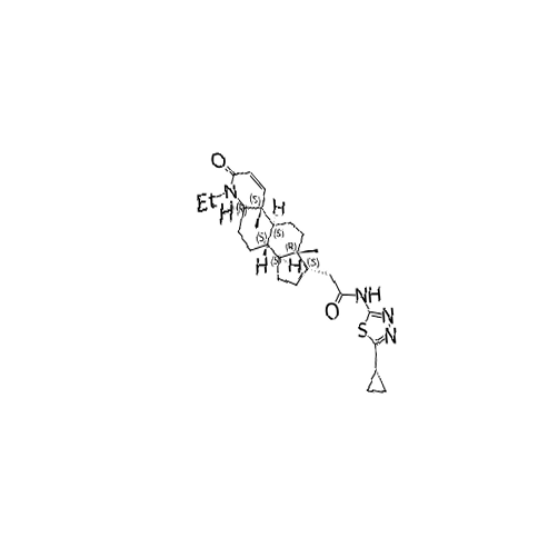 CCN1C(=O)C=C[C@]2(C)[C@H]3CC[C@]4(C)[C@H](CC(=O)Nc5nnc(C6CC6)s5)CC[C@H]4[C@@H]3CC[C@@H]12